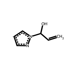 C=CC(O)n1c[c]cn1